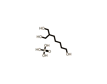 O=P(O)(O)O.OCCCCCC(CO)CO